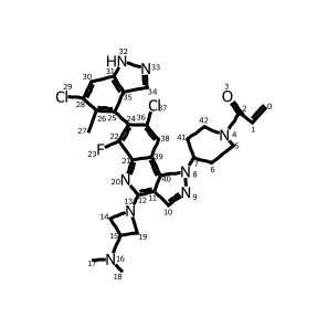 C=CC(=O)N1CCC(n2ncc3c(N4CC(N(C)C)C4)nc4c(F)c(-c5c(C)c(Cl)cc6[nH]ncc56)c(Cl)cc4c32)CC1